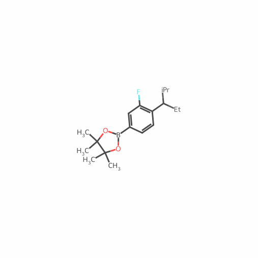 CCC(c1ccc(B2OC(C)(C)C(C)(C)O2)cc1F)C(C)C